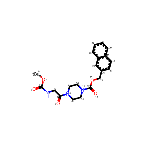 CC(C)(C)OC(=O)NCC(=O)N1CCN(C(=O)OCc2ccc3ccccc3c2)CC1